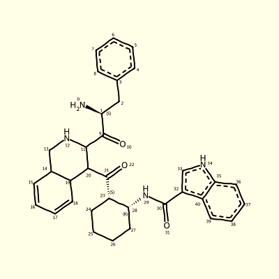 N[C@@H](Cc1ccccc1)C(=O)C1NCC2C=CC=CC2C1C(=O)[C@H]1CCCC[C@H]1NC(=O)c1c[nH]c2ccccc12